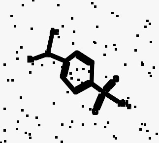 CC(=O)N(Br)c1ccc(S(N)(=O)=O)cc1